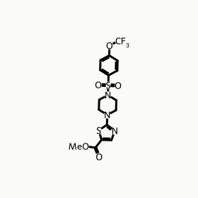 COC(=O)c1cnc(N2CCN(S(=O)(=O)c3ccc(OC(F)(F)F)cc3)CC2)s1